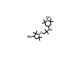 CC(C)(CON1C(C)(C)CC(C(C)(C)C)C1(C)C)NC1CC(C)(C)N(O)C(C)(C)C1